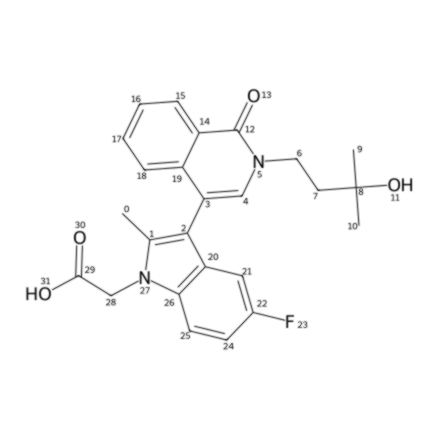 Cc1c(-c2cn(CCC(C)(C)O)c(=O)c3ccccc23)c2cc(F)ccc2n1CC(=O)O